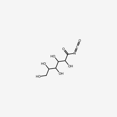 O=C=NC(=O)C(O)C(O)C(O)C(O)CO